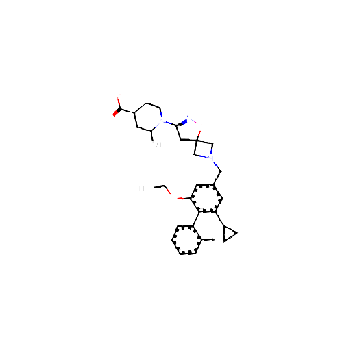 CCOc1cc(CN2CC3(CC(N4CCC(C(=O)O)CC4C)=NO3)C2)cc(C2CC2)c1-c1ccccc1C